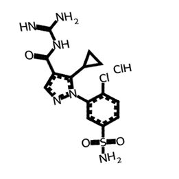 Cl.N=C(N)NC(=O)c1cnn(-c2cc(S(N)(=O)=O)ccc2Cl)c1C1CC1